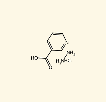 Cl.NN.O=C(O)c1cccnc1